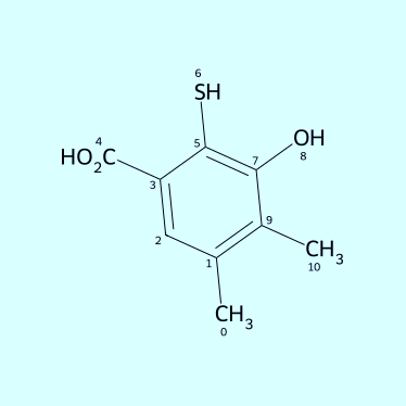 Cc1cc(C(=O)O)c(S)c(O)c1C